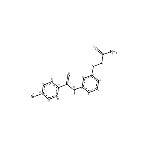 NC(=O)CCc1cccc(NC(=O)c2ncc(Br)cn2)c1